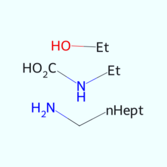 CCCCCCCCN.CCNC(=O)O.CCO